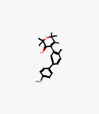 COc1ccc(-c2ccc(C)c(C3=C(C)C(C)(C)OC(C)(C)C3=O)c2)cc1